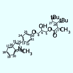 CC(C(=O)OCC(O)COc1ccc(-c2cc3ccccc3n2C)cc1)C(CC(C)(C)C)C(C)(C)C